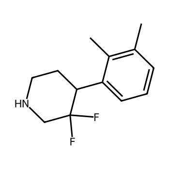 Cc1cccc(C2CCNCC2(F)F)c1C